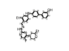 CCc1cc(Nc2ccc(-c3cccc(O)c3)cc2)ccc1/C=N/Nc1ncc(F)c(N2CCOC(CC)C2)n1